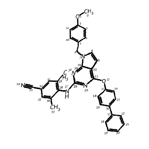 COc1ccc(Cn2ccc3c(Oc4ccc(-c5ccccc5)cc4)nc(Nc4c(C)cc(C#N)cc4C)nc32)cc1